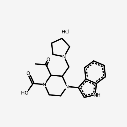 CC(=O)C1C(CN2CCCC2)N(c2c[nH]c3ccccc23)CCN1C(=O)O.Cl